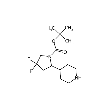 CC(C)(C)OC(=O)N1CC(F)(F)CC1C1CCNCC1